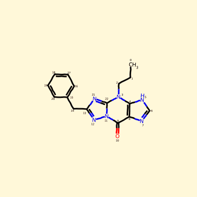 CCCn1c2[nH]cnc2c(=O)n2nc(Cc3ccccc3)nc12